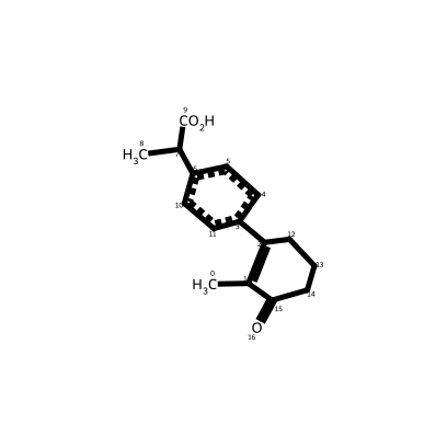 CC1=C(c2ccc(C(C)C(=O)O)cc2)CCCC1=O